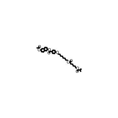 C=C(C)C(=O)OCCCCCC(=O)OCCCCCCCCOc1ccc(C(=O)Oc2ccc3cc(OC(C)=O)ccc3c2)cc1